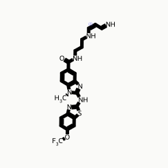 Cn1c(Nc2nc3ccc(OC(F)(F)F)cc3s2)nc2cc(C(=O)NCCCN/C=C\C=N)ccc21